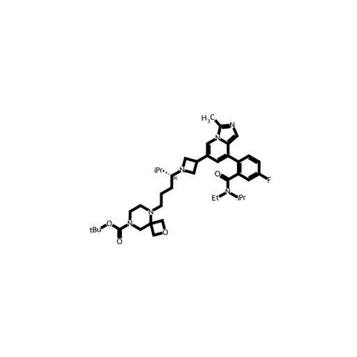 CCN(C(=O)c1cc(F)ccc1-c1cc(C2CN([C@H](CCCN3CCN(C(=O)OC(C)(C)C)CC34COC4)C(C)C)C2)cn2c(C)ncc12)C(C)C